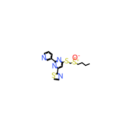 CCCC[S+]([O-])CSc1cc(-c2nccs2)nc(-c2cccnc2)n1